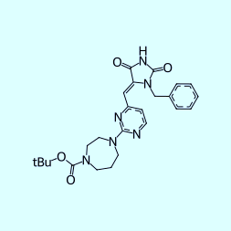 CC(C)(C)OC(=O)N1CCCN(c2nccc(/C=C3/C(=O)NC(=O)N3Cc3ccccc3)n2)CC1